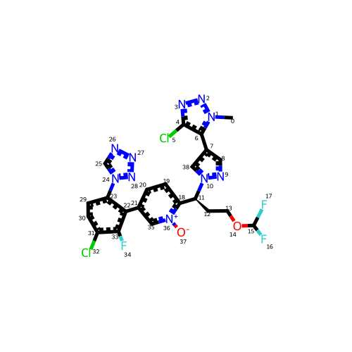 Cn1nnc(Cl)c1-c1cnn([C@@H](CCOC(F)F)c2ccc(-c3c(-n4cnnn4)ccc(Cl)c3F)c[n+]2[O-])c1